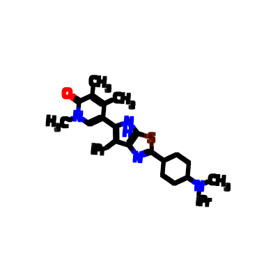 Cc1c(-c2[nH]c3sc(C4CCC(N(C)C(C)C)CC4)nc3c2C(C)C)cn(C)c(=O)c1C